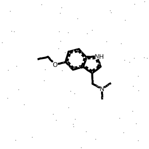 CCOc1ccc2[nH]cc(CN(C)C)c2c1